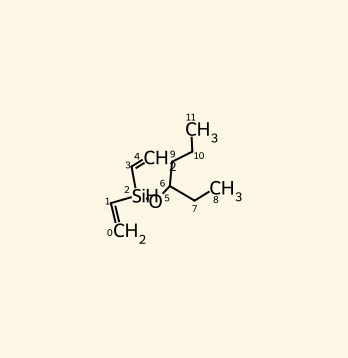 C=C[SiH](C=C)OC(CC)CCC